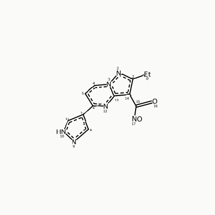 CCc1nn2ccc(-c3cn[nH]c3)nc2c1C(=O)N=O